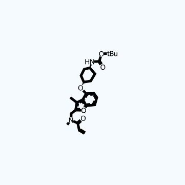 C=CC(=O)N(C)Cc1oc2cccc(O[C@H]3CC[C@H](NC(=O)OC(C)(C)C)CC3)c2c1C